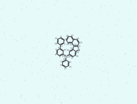 c1ccc(-c2cccc(N(c3ccccc3)c3ccc4sc5ccc6ccccc6c5c4c3)c2)cc1